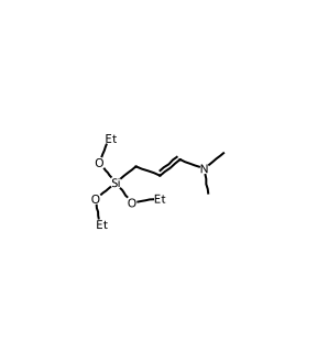 CCO[Si](CC=CN(C)C)(OCC)OCC